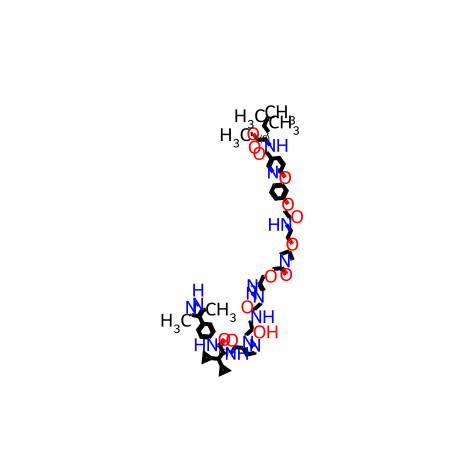 COC(=O)[C@H](CCC(C)(C)C)NC(=O)c1ccc(Oc2cccc(OCC(=O)NCCOC3CN(C(=O)COCc4cn(CC(=O)NCC(O)Cn5nccc5C(=O)N[C@H](C(=O)Nc5ccc(-c6c(C)n[nH]c6C)cc5)C(C5CC5)C5CC5)nn4)C3)c2)nc1